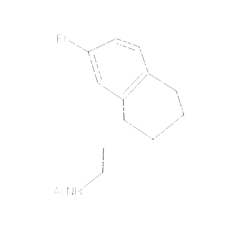 CCc1ccc2c(c1)[C@@H](CCNC(C)=O)CCC2